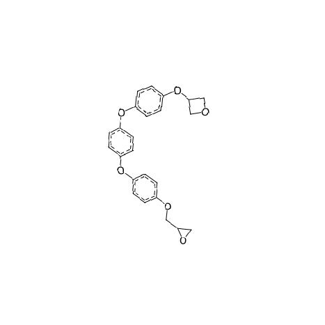 c1cc(Oc2ccc(Oc3ccc(OC4COC4)cc3)cc2)ccc1OCC1CO1